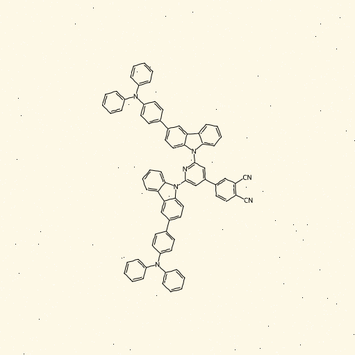 N#Cc1ccc(-c2cc(-n3c4ccccc4c4cc(-c5ccc(N(c6ccccc6)c6ccccc6)cc5)ccc43)nc(-n3c4ccccc4c4cc(-c5ccc(N(c6ccccc6)c6ccccc6)cc5)ccc43)c2)cc1C#N